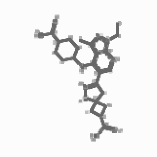 CCn1nc(C)c2c(NC3CCC(C(=O)O)CC3)c(C3=NOC4(C3)CC(C(=O)O)C4)cnc21